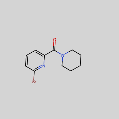 O=C(c1cccc(Br)n1)N1CCCCC1